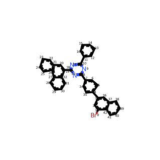 Brc1cc(-c2ccc(-c3nc(-c4ccccc4)nc(-c4cc5ccccc5c5ccccc45)n3)cc2)cc2ccccc12